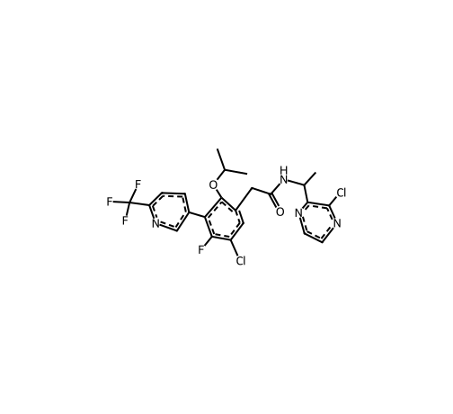 CC(C)Oc1c(CC(=O)NC(C)c2nccnc2Cl)cc(Cl)c(F)c1-c1ccc(C(F)(F)F)nc1